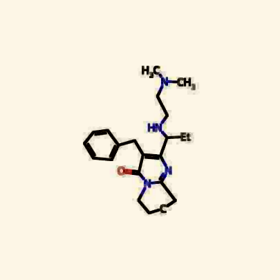 CCC(NCCN(C)C)c1nc2n(c(=O)c1Cc1ccccc1)CCCC2